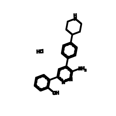 Cl.Nc1nnc(-c2ccccc2O)cc1-c1ccc(C2CCNCC2)cc1